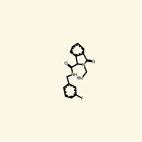 CC(C)(C)CN1C(=O)c2ccccc2C1C(=O)NCc1cccc(F)c1